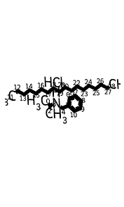 CC(C)NCc1ccccc1.CCCCCCCCCCCCCCCCCC.Cl